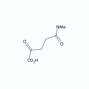 CNC(=O)CCC(=O)C(=O)O